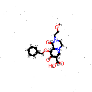 COCCN1C[C@H](C)n2cc(C(=O)O)c(=O)c(OCc3ccccc3)c2C1=O